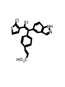 CC/C(=C(/c1ccc(/C=C/C(=O)O)cc1)c1ccc2[nH]ncc2c1)c1ccsc1Cl